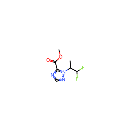 COC(=O)c1ncnn1C(C)C(F)F